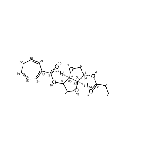 CCC(=O)O[C@H]1CO[C@@H]2C(OC(=O)C3=CC=CCC=C3)CO[C@H]12